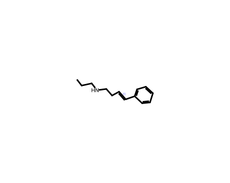 CCCNCC/C=C/c1ccccc1